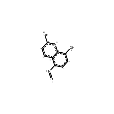 O=Nc1ccc(O)c2nc(O)ccc12